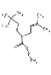 CCOC(=O)N(CC=C(C)C)CCC(C)(C)C